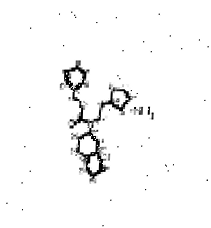 N.O=C(OCc1ccccc1)N(CCC1CCCC1)C1CCc2ccccc2C1